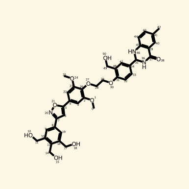 COc1cc(-c2cc(-c3cc(CO)c(CO)c(CO)c3)no2)cc(OC)c1OCCOc1ccc(C2NC(=O)c3cc(C)ccc3N2)cc1CO